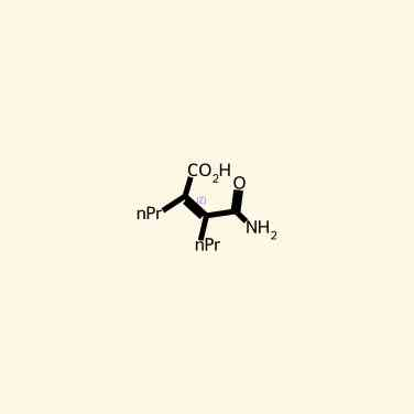 CCC/C(C(N)=O)=C(\CCC)C(=O)O